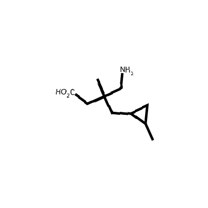 CC1CC1CC(C)(CN)CC(=O)O